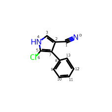 N#Cc1c[nH]c(Cl)c1-c1ccccc1